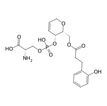 N[C@@H](COP(=O)(O)O[C@@H]1C=CCO[C@@H]1COC(=O)CCc1ccccc1O)C(=O)O